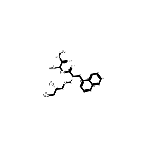 CCCC[C@H](NC(=O)[C@@H](CSC[C@@H](O)COC(C)=O)Cc1cccc2ccccc12)C(=O)OC(C)(C)C